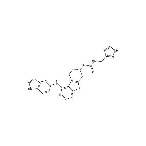 O=C(NCc1cc[nH]n1)OC1CCc2c(sc3ncnc(Nc4ccc5[nH]ncc5c4)c23)C1